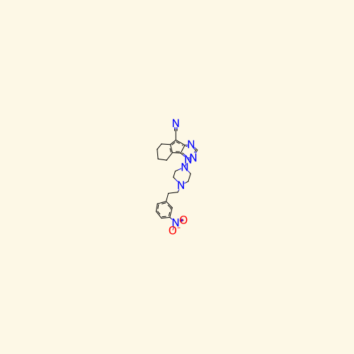 N#Cc1c2ncnn(N3CCN(CCc4cccc([N+](=O)[O-])c4)CC3)c-2c2c1CCCC2